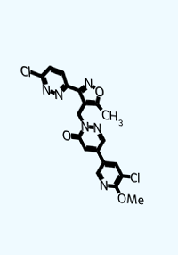 COc1ncc(-c2cnn(Cc3c(-c4ccc(Cl)nn4)noc3C)c(=O)c2)cc1Cl